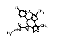 CCNC(=O)C1CC12N=C(c1ccc(Cl)cc1)c1c(sc(C)c1C)-c1c2noc1C